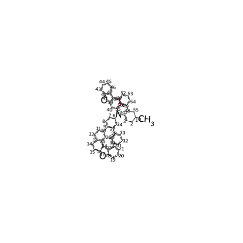 CC1CC=C(N(c2ccc(-c3ccc4ccc5oc6ccccc6c5c4c3)c(-c3ccccc3)c2)c2ccc3c(c2)oc2ccccc23)C(c2ccccc2)C1